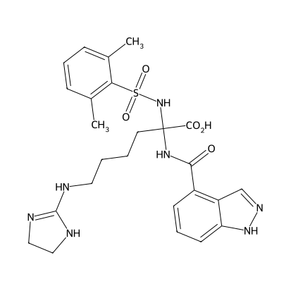 Cc1cccc(C)c1S(=O)(=O)NC(CCCCNC1=NCCN1)(NC(=O)c1cccc2[nH]ncc12)C(=O)O